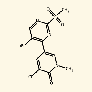 CCCc1cnc(S(C)(=O)=O)nc1-c1cc(Cl)c(=O)n(C)c1